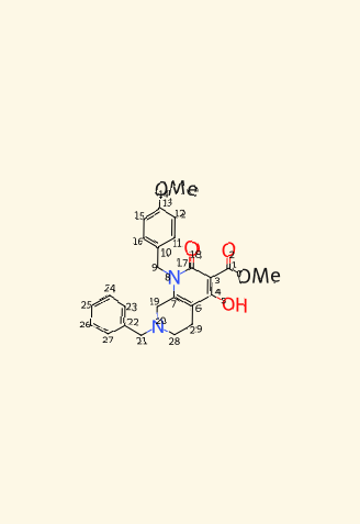 COC(=O)c1c(O)c2c(n(Cc3ccc(OC)cc3)c1=O)CN(Cc1ccccc1)CC2